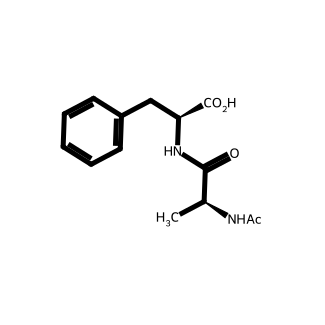 CC(=O)N[C@@H](C)C(=O)N[C@@H](Cc1ccccc1)C(=O)O